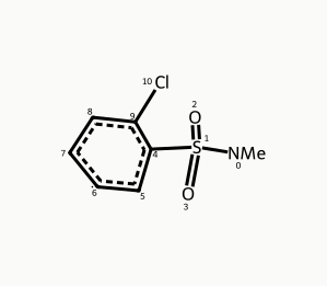 CNS(=O)(=O)c1c[c]ccc1Cl